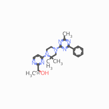 Cc1nc(-c2ccccc2)nc(N2CCN(c3ccnc([C@@H](C)O)n3)C(C)(C)C2)n1